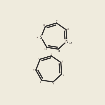 C1=CC=CCC=C1.C1=CSC=CN=C1